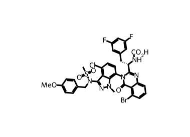 COc1ccc(CN(c2nn(C)c3c(-n4c([C@H](Cc5cc(F)cc(F)c5)NC(=O)O)nc5cccc(Br)c5c4=O)ccc(Cl)c23)S(C)(=O)=O)cc1